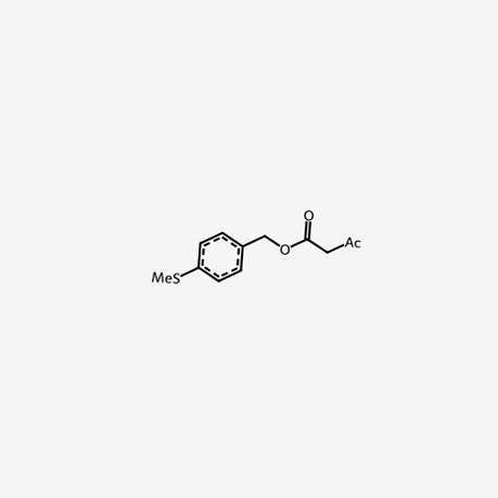 CSc1ccc(COC(=O)CC(C)=O)cc1